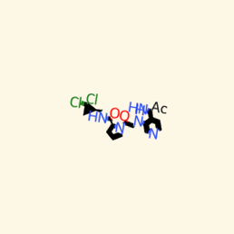 CC(=O)C(=N)c1ccncc1NCC(=O)N1C=CC[C@H]1C(=O)NC[C@H]1CC1(Cl)Cl